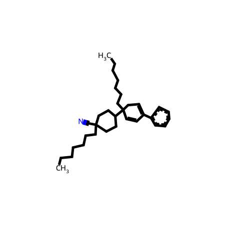 CCCCCCCC1(C#N)CCC(C2(CCCCCCC)C=CC(c3ccccc3)=CC2)CC1